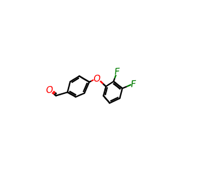 O=Cc1ccc(Oc2cccc(F)c2F)cc1